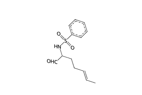 CC=CCCC(C=O)NS(=O)(=O)c1ccccc1